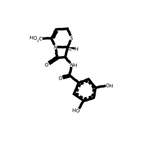 O=C(O)C1=CCS[C@@H]2C(NC(=O)c3cc(O)cc(O)c3)C(=O)N12